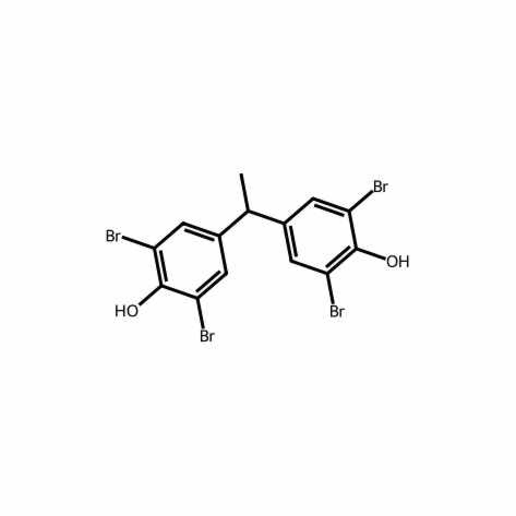 CC(c1cc(Br)c(O)c(Br)c1)c1cc(Br)c(O)c(Br)c1